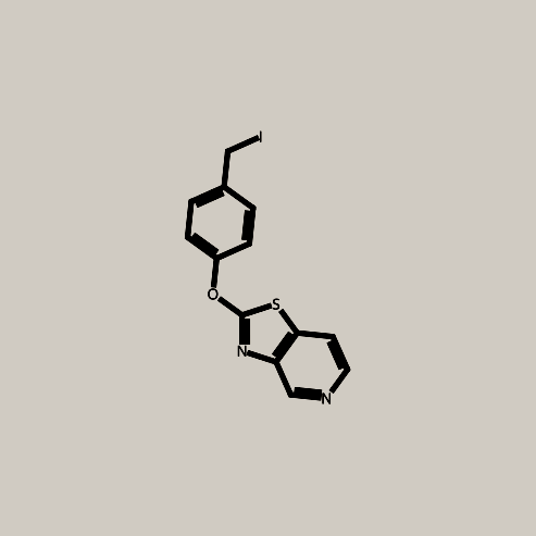 ICc1ccc(Oc2nc3cnccc3s2)cc1